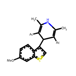 COc1ccc2c(C3C(C(C)=O)=C(C)NC(C)=C3C(C)=O)csc2c1